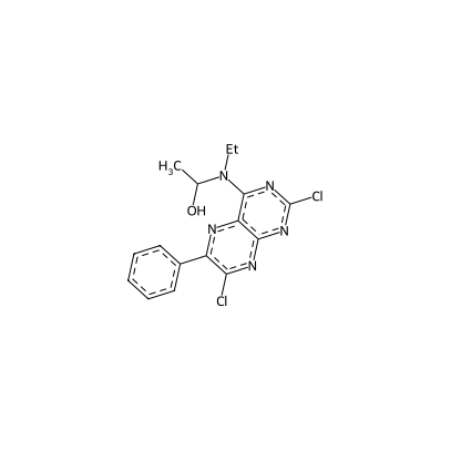 CCN(c1nc(Cl)nc2nc(Cl)c(-c3ccccc3)nc12)C(C)O